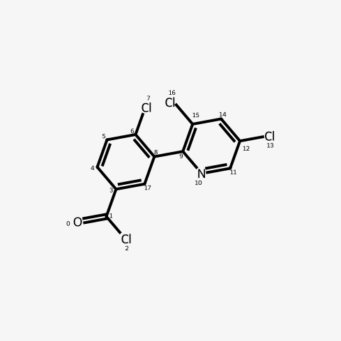 O=C(Cl)c1ccc(Cl)c(-c2ncc(Cl)cc2Cl)c1